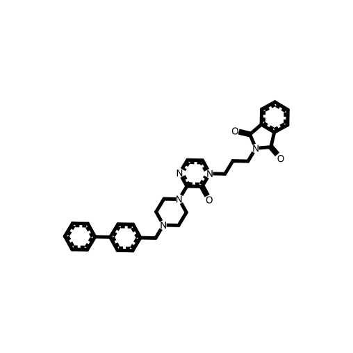 O=C1c2ccccc2C(=O)N1CCCn1ccnc(N2CCN(Cc3ccc(-c4ccccc4)cc3)CC2)c1=O